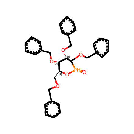 O=[PH]1O[C@H](COCc2ccccc2)[C@@H](OCc2ccccc2)[C@H](OCc2ccccc2)C1OCc1ccccc1